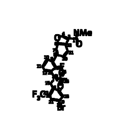 CNC(=O)c1coc2cc(-c3cccc(N(Cc4ccc(Br)cc4C(F)(F)F)S(C)(=O)=O)c3F)ccc12